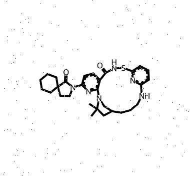 CC1(C)CC2CCCNc3cccc(n3)SNC(=O)c3ccc(N4CCC5(CCCCC5)C4=O)nc3N1C2